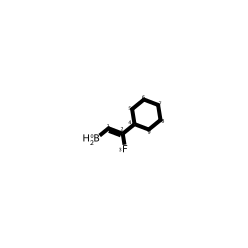 B/C=C(\F)C1CCCCC1